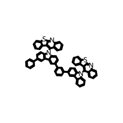 c1ccc(-c2ccc3c(c2)c2cc(-c4cccc(-c5ccc6c(c5)c5ccccc5n6-c5c6ccccc6nc6sc7ccccc7c56)c4)ccc2n3-c2c3ccccc3nc3sc4ccccc4c23)cc1